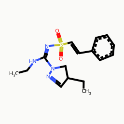 CCNC(=NS(=O)(=O)C=Cc1ccccc1)N1CC(CC)C=N1